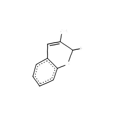 OC1=Cc2ccccc2OC1F